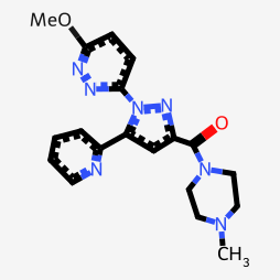 COc1ccc(-n2nc(C(=O)N3CCN(C)CC3)cc2-c2ccccn2)nn1